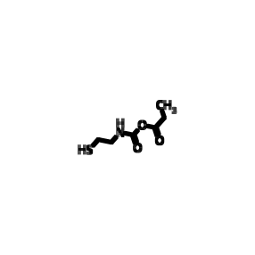 CCC(=O)OC(=O)NCCS